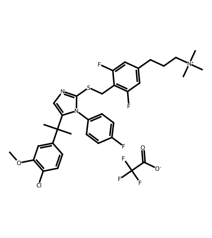 COc1cc(C(C)(C)c2cnc(SCc3c(F)cc(CCC[N+](C)(C)C)cc3F)n2-c2ccc(F)cc2)ccc1Cl.O=C([O-])C(F)(F)F